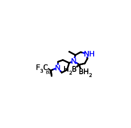 BC1(B)CCNCC(C)N1C1CCN([C@@H](C)C(F)(F)F)CC1